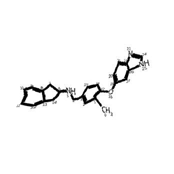 Cc1cc(CNC2Cc3ccccc3C2)ccc1Oc1ccc2nc[nH]c2c1